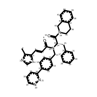 Cc1ncsc1C=CC(=O)N(Cc1ccc(-c2cccnn2)cc1)[C@@H](Cc1ccccc1)C(=O)N1CCc2ccccc2C1